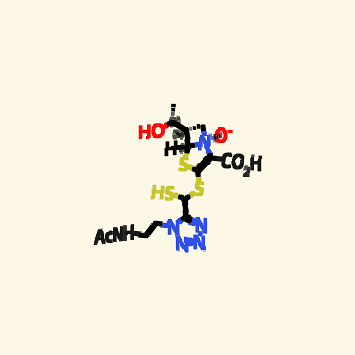 CC(=O)NCCn1nnnc1C(S)SC1=C(C(=O)O)[N+]2([O-])C[C@@H]([C@@H](C)O)[C@H]2S1